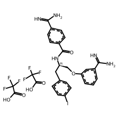 N=C(N)c1ccc(C(=O)N[C@@H](COc2cccc(C(=N)N)c2)Cc2ccc(I)cc2)cc1.O=C(O)C(F)(F)F.O=C(O)C(F)(F)F